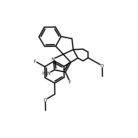 COCc1cc(F)cc(C2CC(OC)CCC23Cc2ccccc2C32C=C(F)C(N)=N2)c1